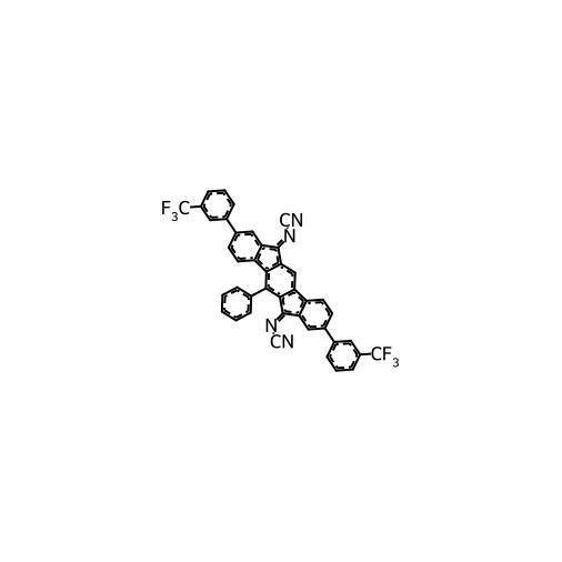 N#C/N=c1\c2cc(-c3cccc(C(F)(F)F)c3)ccc2c2c(-c3ccccc3)c3/c(=N/C#N)c4cc(-c5cccc(C(F)(F)F)c5)ccc4c3cc12